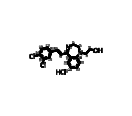 Cl.OCCN1CCN=C(C=Cc2ccc(Cl)c(Cl)c2)c2ccccc21